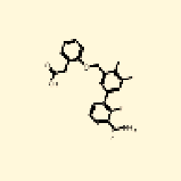 Cc1cc(-c2cccc([C@@H](C)N)c2F)cc(COc2ccccc2CC(=O)O)c1C